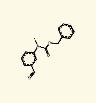 O=Cc1cccc(N(F)C(=O)OCc2ccccc2)c1